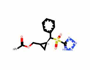 CCCC(=O)OCC1C[C@@H]1C(c1ccccc1)S(=O)(=O)c1nnn[nH]1